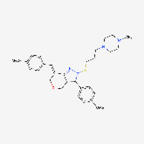 COc1ccc(C=C2COCC3C2=NN(SCCCN2CCN(C)CC2)C3c2ccc(OC)cc2)cc1